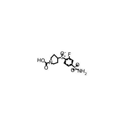 NS(=O)(=O)c1ccc([S+]([O-])C2CCN(C(=O)O)CC2)c(F)c1